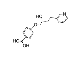 OB(O)c1ccc(OC[C@H](O)CCc2cccnc2)cc1